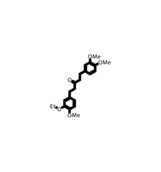 CCOc1cc(CCC(=O)CCc2ccc(OC)c(OC)c2)ccc1OC